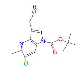 Cc1nc2c(CC#N)cn(C(=O)OC(C)(C)C)c2cc1Cl